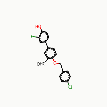 O=Cc1cc(-c2ccc(O)c(F)c2)ccc1OCc1ccc(Cl)cc1